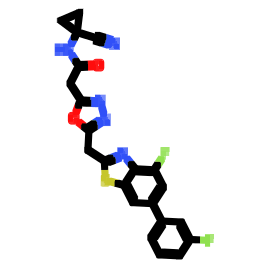 N#CC1(NC(=O)Cc2nnc(Cc3nc4c(F)cc(-c5cccc(F)c5)cc4s3)o2)CC1